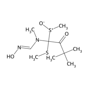 CSC(C(=O)C(C)(C)C)(N(C)C=NO)[S+](C)[O-]